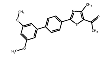 COc1cc(OC)cc(-c2ccc(-c3nc(C)c(C(C)=O)s3)cc2)c1